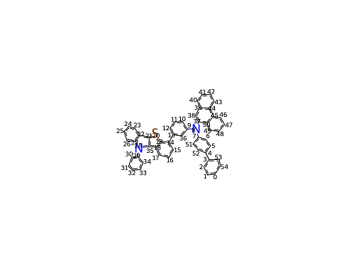 c1ccc(-c2ccc(N(c3cccc(-c4cccc5c4sc4c6ccccc6n(-c6ccccc6)c54)c3)c3cc4ccccc4c4ccccc34)cc2)cc1